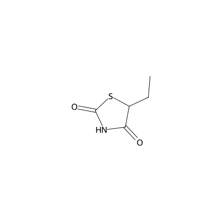 CCC1SC(=O)NC1=O